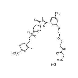 CNCC(=O)NCCOCCOc1cc(C2=NC3(CCN(S(=O)(=O)CCc4ccc(C(=O)O)cc4C)CC3)C(=O)N2)cc(C(F)(F)F)c1.Cl